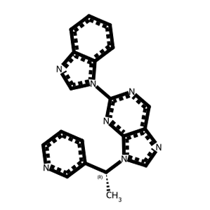 C[C@H](c1cccnc1)n1cnc2cnc(-n3cnc4ccccc43)nc21